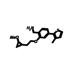 COC1CC1CCOc1cc(-c2sccc2C)ccc1CN